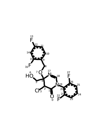 O=C1C(Cl)C(CO)(OCc2ccc(F)cc2F)N=CN1c1c(F)cccc1F